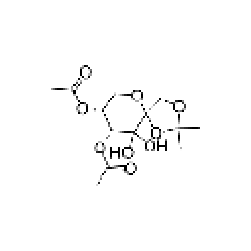 CC(=O)O[C@@H]1[C@H](OC(C)=O)CO[C@]2(COC(C)(C)O2)C1(O)O